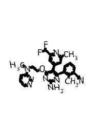 Cc1cc(-c2c(OCCN(C)c3cccnn3)nc(N)nc2-c2cccc(C#N)c2C)cc(C(F)F)n1